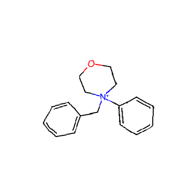 c1ccc(C[N+]2(c3ccccc3)CCOCC2)cc1